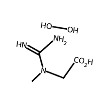 CN(CC(=O)O)C(=N)N.OO